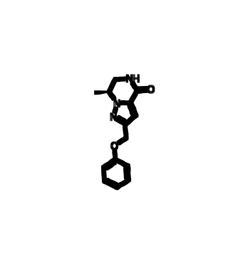 C[C@H]1CNC(=O)c2cc(COc3ccccc3)nn21